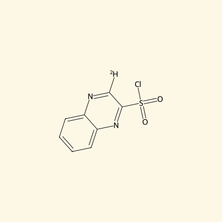 [2H]c1nc2ccccc2nc1S(=O)(=O)Cl